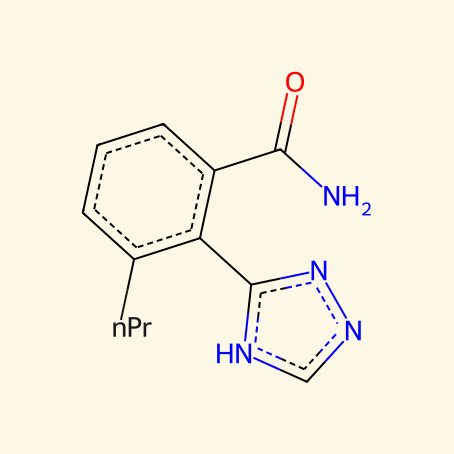 CCCc1cccc(C(N)=O)c1-c1nnc[nH]1